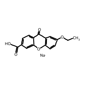 CCOc1ccc2oc3cc(C(=O)O)ccc3c(=O)c2c1.[Na]